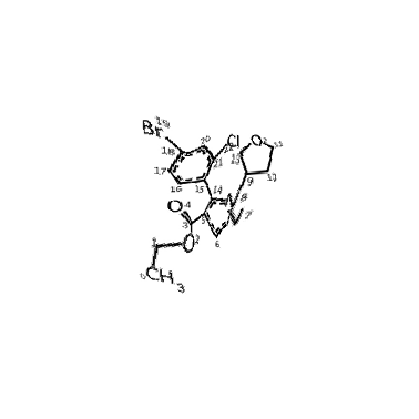 CCOC(=O)c1cnn(C2CCOC2)c1-c1ccc(Br)cc1Cl